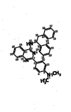 CN(C)c1ccc(-c2nc(NC(Cc3ccccc3)c3ccccc3)c3ccccc3n2)cc1